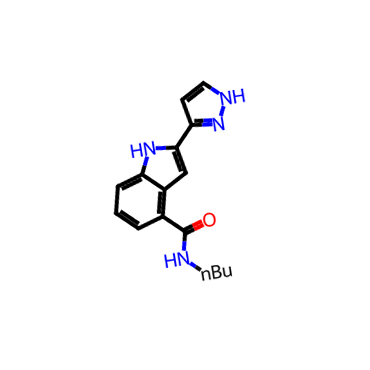 CCCCNC(=O)c1cccc2[nH]c(-c3cc[nH]n3)cc12